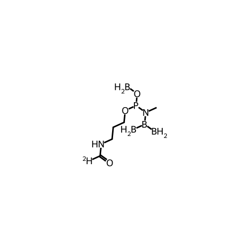 [2H]C(=O)NCCCOP(OB)N(C)B(B)B